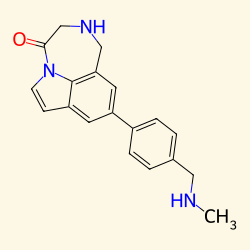 CNCc1ccc(-c2cc3c4c(ccn4C(=O)CNC3)c2)cc1